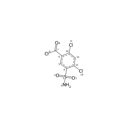 NS(=O)(=O)c1cc(C(=O)Cl)c(Cl)cc1Cl